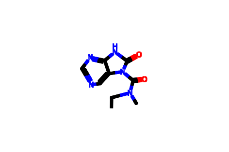 CCN(C)C(=O)n1c(=O)[nH]c2ncncc21